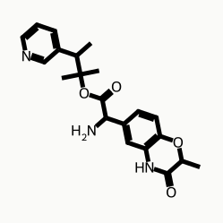 CC1Oc2ccc(C(N)C(=O)OC(C)(C)C(C)c3cccnc3)cc2NC1=O